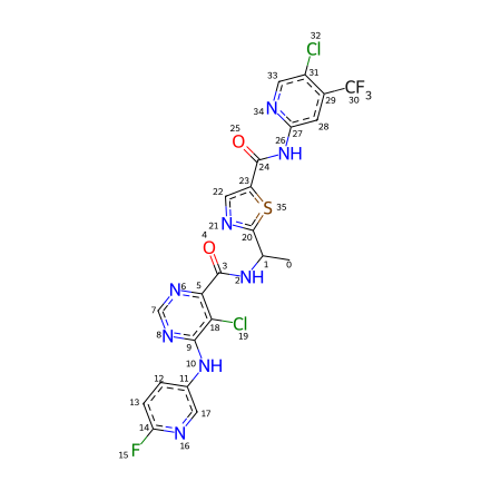 CC(NC(=O)c1ncnc(Nc2ccc(F)nc2)c1Cl)c1ncc(C(=O)Nc2cc(C(F)(F)F)c(Cl)cn2)s1